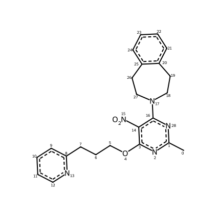 Cc1nc(OCCCc2ccccn2)c([N+](=O)[O-])c(N2CCc3ccccc3CC2)n1